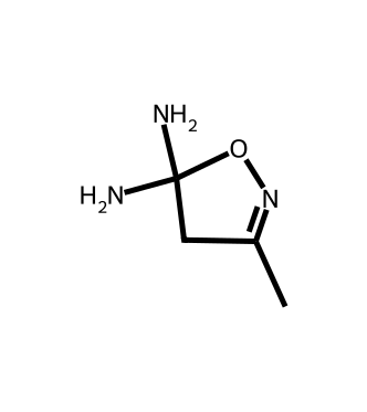 CC1=NOC(N)(N)C1